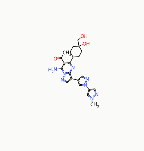 CC(=O)c1c(C2CCC(O)(CO)CC2)nc2c(-c3cnn(-c4cnn(C)c4)c3)cnn2c1N